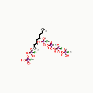 CCCCCCCC.O=P(O)(O)F.O=P(O)(O)F.O=P(O)(O)F.O=P(O)(O)F.O=P(O)(O)F.O=P(O)(O)F